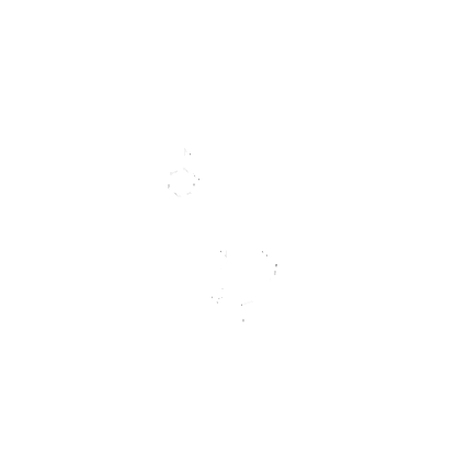 CC(=O)NCCN(CCCCc1ccc2c(n1)NCCC2)CC[C@H](N)C(=O)O.Cl